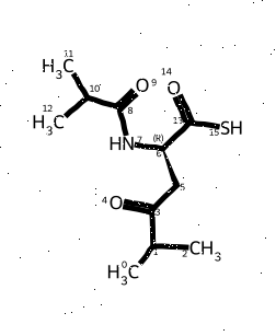 CC(C)C(=O)C[C@@H](NC(=O)C(C)C)C(=O)S